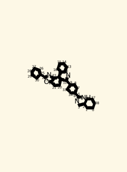 C1=CC2=CN=C(c3ccc(-c4nc5ccccc5c5c4ccc4oc(-c6ccccc6)nc45)cc3)NC2C=C1